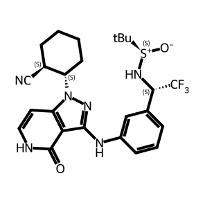 CC(C)(C)[S@@+]([O-])N[C@@H](c1cccc(Nc2nn([C@H]3CCCC[C@@H]3C#N)c3cc[nH]c(=O)c23)c1)C(F)(F)F